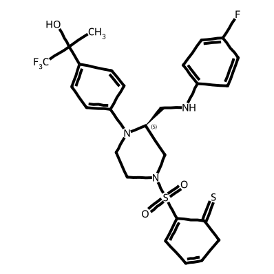 CC(O)(c1ccc(N2CCN(S(=O)(=O)C3=CC=CCC3=S)C[C@@H]2CNc2ccc(F)cc2)cc1)C(F)(F)F